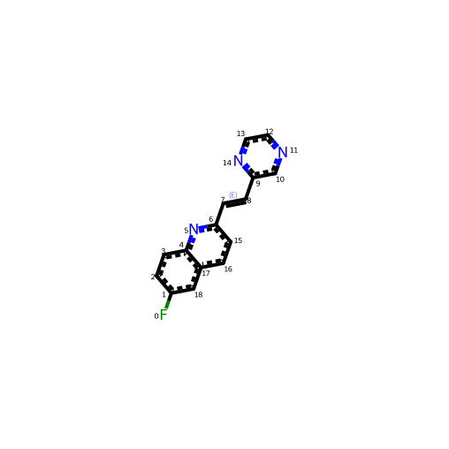 Fc1ccc2nc(/C=C/c3cnccn3)ccc2c1